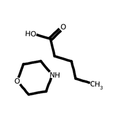 C1COCCN1.CCCCC(=O)O